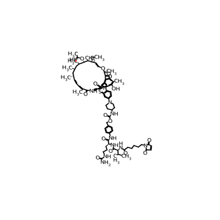 CO[C@H]1/C=C/O[C@@]2(C)Oc3c(C)c(O)c4c(=O)c(c5sc6cc(N7CCC(NC(=O)OCc8ccc(NC(=O)[C@H](CCCNC(N)=O)NC(=O)[C@@H](NC(=O)CCCCCN9C(=O)C=CC9=O)C(C)C)cc8)CC7)ccc6nc-5c4c3C2=O)NC(=O)/C(C)=C\C=C\[C@H](C)C[C@@H](C)C[C@@H](C)[C@H](OC(C)=P)[C@@H]1C